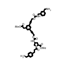 COC(=O)Cc1cc(C#CCOC(=O)NCc2cccc(CN)c2)cc(C#CCOC(=O)NC2CC(C(=O)OC)N(C(=O)CCc3ccc(CN)cc3)C2)c1